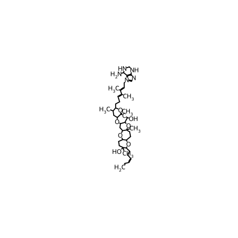 C=C/C=C\CCC1OC2CCC3(C)OC4C(O)CC5(C)OC(CC/C=C(C)/C(C)=C/Cn6cnc7c6C(N)NCN7)C(C)CC5OC4CC3OC2CCC1(C)O